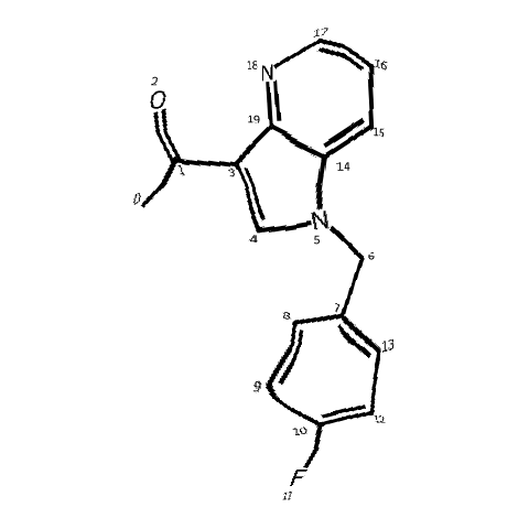 CC(=O)c1cn(Cc2ccc(F)cc2)c2cccnc12